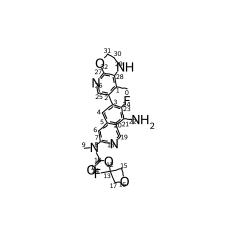 Cc1c(-c2cc3cc(N(C)C(=O)OC4(F)COC4)ncc3c(N)c2F)cnc2c1NCCO2